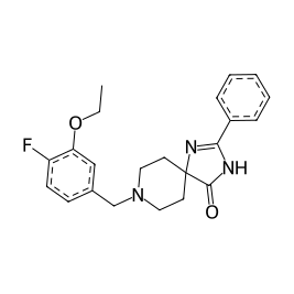 CCOc1cc(CN2CCC3(CC2)N=C(c2ccccc2)NC3=O)ccc1F